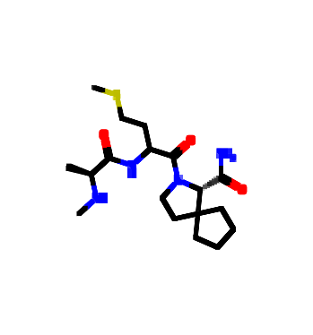 CN[C@@H](C)C(=O)NC(CCSC)C(=O)N1CCC2(CCCC2)[C@H]1C(N)=O